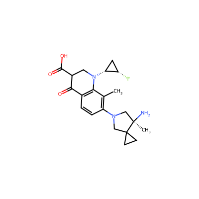 Cc1c(N2CC3(CC3)[C@](C)(N)C2)ccc2c1N([C@@H]1C[C@@H]1F)CC(C(=O)O)C2=O